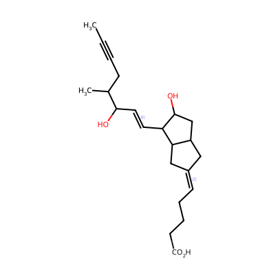 CC#CCC(C)C(O)/C=C/C1C(O)CC2C/C(=C/CCCC(=O)O)CC21